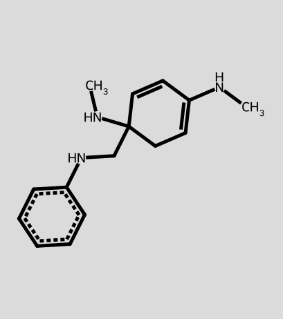 CNC1=CCC(CNc2ccccc2)(NC)C=C1